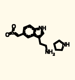 C1CCNC1.NCCc1c[nH]c2ccc(C=S(=O)=O)cc12